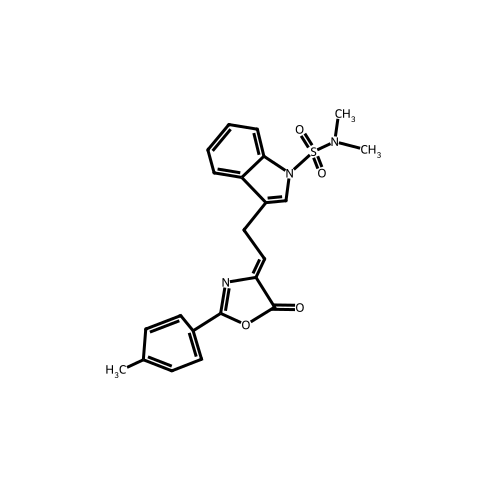 Cc1ccc(C2=N/C(=C\Cc3cn(S(=O)(=O)N(C)C)c4ccccc34)C(=O)O2)cc1